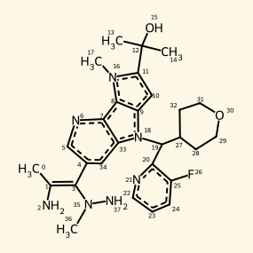 C/C(N)=C(\c1cnc2c3c(cc(C(C)(C)O)n3C)n(C(c3ncccc3F)C3CCOCC3)c2c1)N(C)N